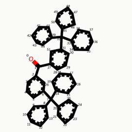 O=C(c1cccc(C(c2ccccc2)(c2ccccc2)c2ccccc2)c1)c1cccc(C(c2ccccc2)(c2ccccc2)c2ccccc2)c1